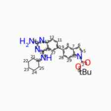 CC(C)(C)OC(=O)n1ccc2cc(-c3ccc4nc(N)nc(NC5CCCCC5)c4c3)ccc21